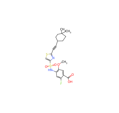 COc1cc(C(=O)O)c(F)cc1NS(=O)(=O)c1csc(C#CC2CCC(C)(C)CC2)n1